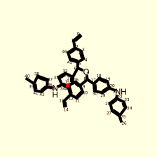 C=Cc1ccc(C(OC(c2ccc(C=C)cc2)c2ccc(Nc3ccc(C)cc3)cc2)c2ccc(Nc3ccc(C)cc3)cc2)cc1